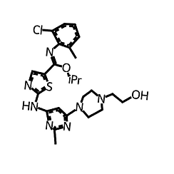 Cc1nc(Nc2ncc(/C(=N/c3c(C)cccc3Cl)OC(C)C)s2)cc(N2CCN(CCO)CC2)n1